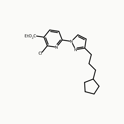 CCOC(=O)c1ccc(-n2ccc(CCCC3CCCC3)n2)nc1Cl